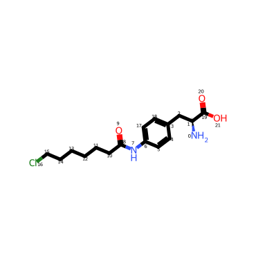 N[C@@H](Cc1ccc(NC(=O)CCCCCCCl)cc1)C(=O)O